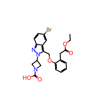 CCOC(=O)Cc1ccccc1OCc1c2cc(Br)ccc2nn1C1CN(C(=O)O)C1